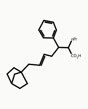 CCCC(C(=O)O)C(CC=CCC12CCC(CC1)C2)c1ccccc1